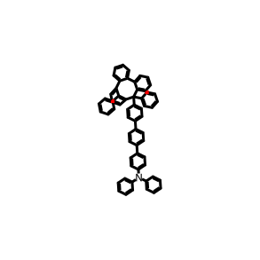 c1ccc(-c2c3cccc2C(c2ccccc2)(c2ccc(-c4ccc(-c5ccc(N(c6ccccc6)c6ccccc6)cc5)cc4)cc2)c2ccccc2-c2ccccc2-3)cc1